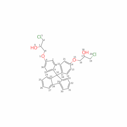 OC(CCl)COc1ccc(C2(c3ccc(OCC(O)CCl)cc3)c3ccccc3-c3ccccc32)cc1